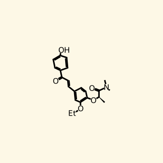 CCOc1cc(/C=C/C(=O)c2ccc(O)cc2)ccc1O[C@H](C)C(=O)N(C)C